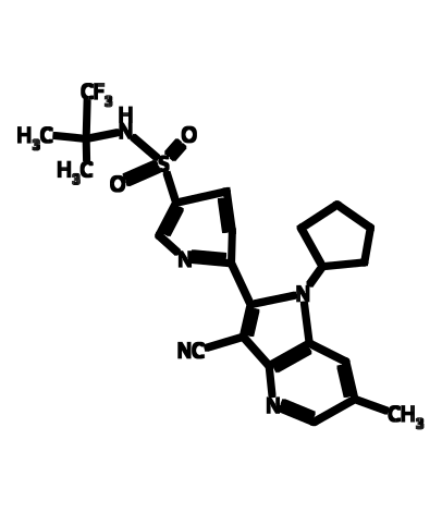 Cc1cnc2c(C#N)c(-c3ccc(S(=O)(=O)NC(C)(C)C(F)(F)F)cn3)n(C3CCCC3)c2c1